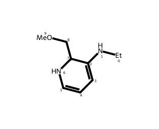 CCNC1=CC=CN[C]1COC